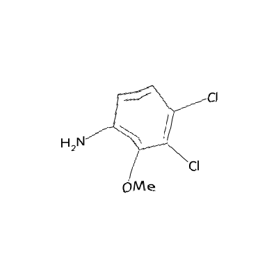 COc1c(N)ccc(Cl)c1Cl